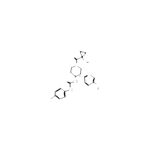 COc1ccc([C@@H]2CN(C(=O)C3(OC)CC3)CC[C@H]2NC(=O)Nc2ccc(Cl)cc2)nc1